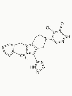 O=c1[nH]ncc(N2CCc3c(c(-c4ncn[nH]4)nn3Cc3ccccc3C(F)(F)F)C2)c1Cl